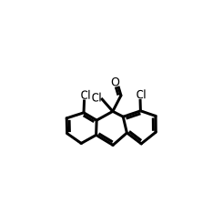 O=CC1(Cl)C2=C(Cl)C=CCC2=Cc2cccc(Cl)c21